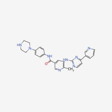 Cc1ncc(C(=O)Nc2ccc(N3CCNCC3)cc2)cc1Nc1nccc(-c2cccnc2)n1